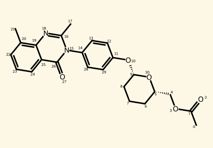 CC(=O)OC[C@@H]1CCC[C@H](Oc2ccc(-n3c(C)nc4c(C)cccc4c3=O)cc2)O1